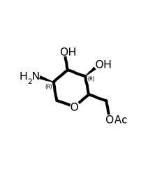 CC(=O)OCC1OC[C@@H](N)C(O)[C@H]1O